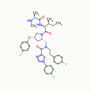 CC[C@H](C)[C@H](NC(=O)[C@H](C)NC)C(=O)N1C[C@@H](Oc2ccc(F)cc2)C[C@H]1CN(CCc1ccc(F)cc1)C(=O)c1cn(-c2ccc(F)cc2)cn1